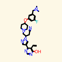 C=Cc1c(O)ncnc1-c1cnn(C(CC#N)CN2CCC(Oc3cc(F)cc(CN(C)C)c3)CC2)c1